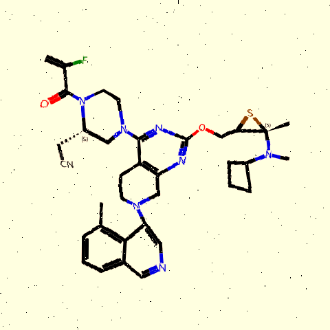 C=C(F)C(=O)N1CCN(c2nc(OCC3S[C@]3(C)N(C)C3CCC3)nc3c2CCN(c2cncc4cccc(C)c24)C3)C[C@@H]1CC#N